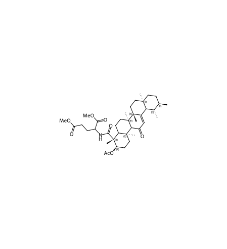 COC(=O)CCC(NC(=O)[C@]1(C)C2CC[C@]3(C)C(C(=O)C=C4C5[C@@H](C)[C@H](C)CC[C@]5(C)CC[C@]43C)[C@@]2(C)CC[C@H]1OC(C)=O)C(=O)OC